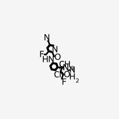 C[C@@]1(c2cc(NC(=O)c3ncc(C#N)cc3CF)ccc2Cl)C=C(CF)OC(N)=N1